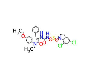 CCOc1ccc(N(CC)C(=O)[C@H](Cc2ccccc2)NC(=O)NOSON2CCc3cc(Cl)cc(Cl)c32)cc1